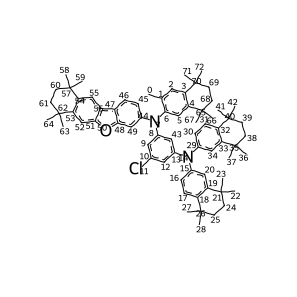 Cc1cc2c(cc1N(c1cc(Cl)cc(N(c3ccc4c(c3)C(C)(C)CCC4(C)C)c3ccc4c(c3)C(C)(C)CCC4(C)C)c1)c1ccc3c(c1)oc1cc4c(cc13)C(C)(C)CCC4(C)C)C(C)(C)CCC2(C)C